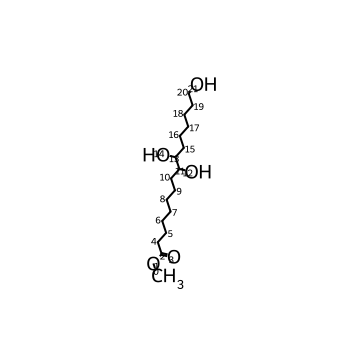 COC(=O)CCCCCCCC(O)C(O)CCCCCCO